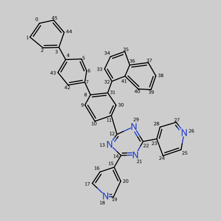 c1ccc(-c2ccc(-c3ccc(-c4nc(-c5ccncc5)nc(-c5ccncc5)n4)cc3-c3cccc4ccccc34)cc2)cc1